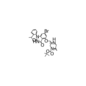 CC(C)c1ccccc1-n1c(=O)[nH]c(=O)c2c(OC[C@@H]3CN(C(=O)OC(C)(C)C)[C@H](C)CN3)cc(Br)cc21